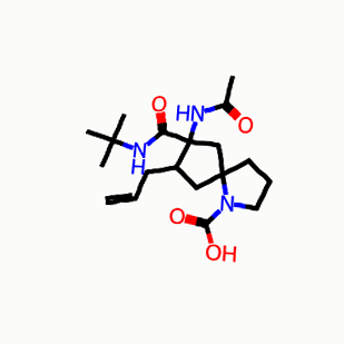 C=CCC1CC2(CCCN2C(=O)O)CC1(NC(C)=O)C(=O)NC(C)(C)C